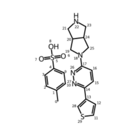 Cc1ccc(S(=O)(=O)O)cc1.c1cc(-c2ccc(N3CC4CNCC4C3)nn2)cs1